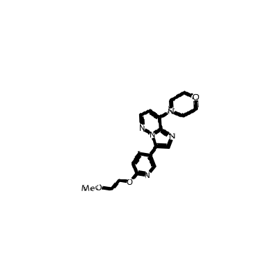 COCCOc1ccc(-c2cnc3c(N4CCOCC4)ccnn23)cn1